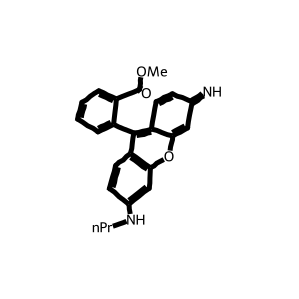 CCCNc1ccc2c(-c3ccccc3C(=O)OC)c3ccc(=N)cc-3oc2c1